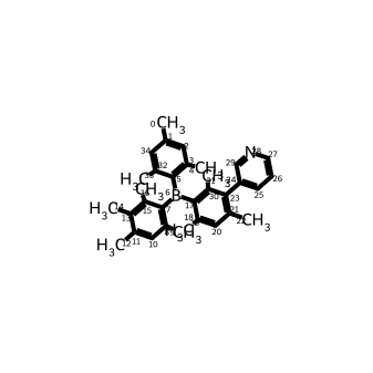 Cc1cc(C)c(B(c2c(C)cc(C)c(C)c2C)c2c(C)cc(C)c(-c3cccnc3)c2C)c(C)c1